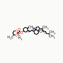 C=C1CC[C@H](OC(=O)C2(C)OCC[C@@H](C)O2)C/C1=C/C=C1\CCC[C@]2(C)C([C@H](C)CCCC(C)C)CC[C@@H]12